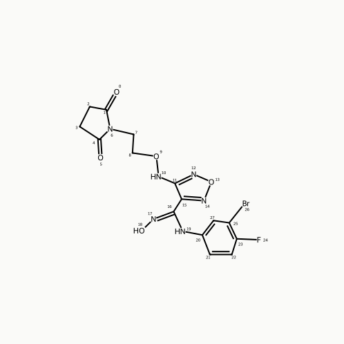 O=C1CCC(=O)N1CCONc1nonc1/C(=N/O)Nc1ccc(F)c(Br)c1